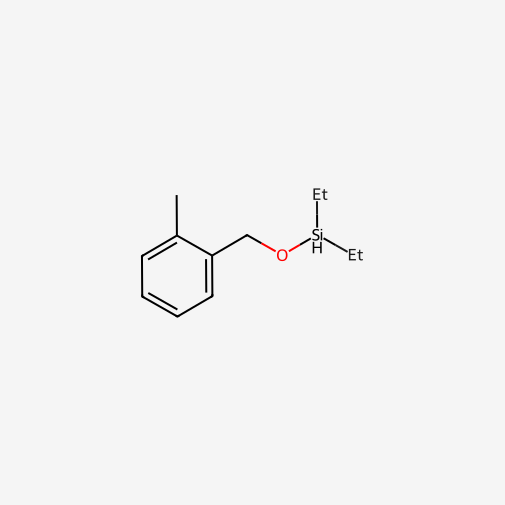 CC[SiH](CC)OCc1ccccc1C